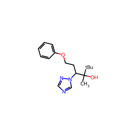 CC(C)(C)C(C)(O)C(CCOc1ccccc1)n1cncn1